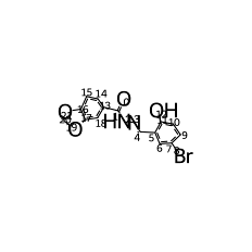 O=C(N/N=C/c1cc(Br)ccc1O)c1ccc2c(c1)OCO2